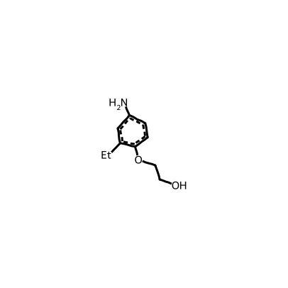 CCc1cc(N)ccc1OCCO